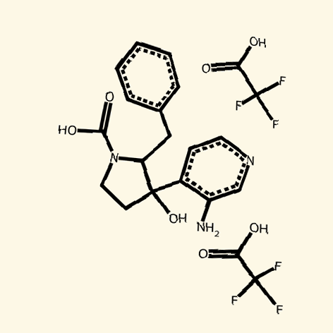 Nc1cnccc1C1(O)CCN(C(=O)O)C1Cc1ccccc1.O=C(O)C(F)(F)F.O=C(O)C(F)(F)F